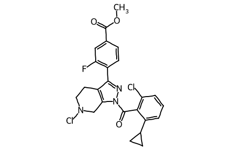 COC(=O)c1ccc(-c2nn(C(=O)c3c(Cl)cccc3C3CC3)c3c2CCN(Cl)C3)c(F)c1